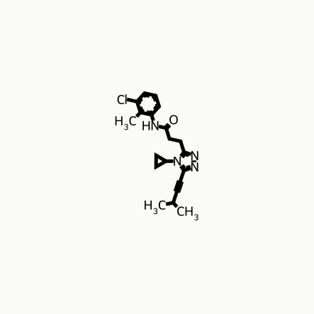 Cc1c(Cl)cccc1NC(=O)CCc1nnc(C#CC(C)C)n1C1CC1